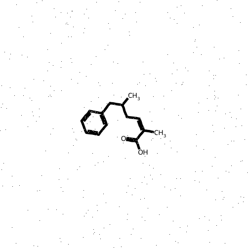 CC(=CCC(C)Cc1ccccc1)C(=O)O